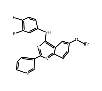 CC(C)Oc1ccc2nc(-c3cccnc3)nc(Nc3ccc(F)c(F)c3)c2c1